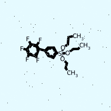 CCCO[Si](OCCC)(OCCC)c1ccc(-c2c(F)c(F)c(F)c(F)c2F)cc1